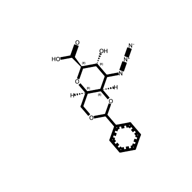 [N-]=[N+]=NC1[C@@H](O)[C@H](C(=O)O)O[C@@H]2COC(c3ccccc3)O[C@H]12